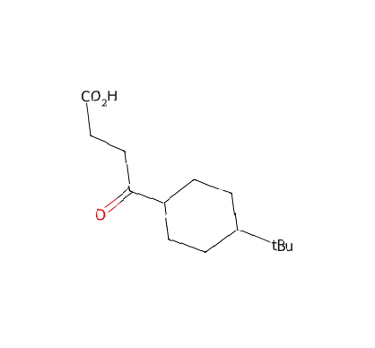 CC(C)(C)C1CCC(C(=O)CCC(=O)O)CC1